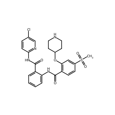 CS(=O)(=O)c1ccc(C(=O)Nc2ccccc2C(=O)Nc2ccc(Cl)cn2)c(OC2CCNCC2)c1